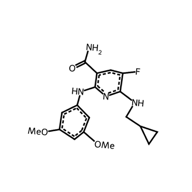 COc1cc(Nc2nc(NCC3CC3)c(F)cc2C(N)=O)cc(OC)c1